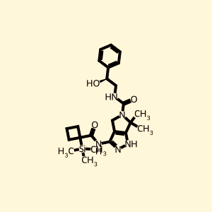 CC1(C)c2[nH]nc(NC(=O)C3([Si](C)(C)C)CCC3)c2CN1C(=O)NC[C@@H](O)c1ccccc1